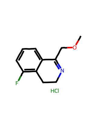 COCC1=NCCc2c(F)cccc21.Cl